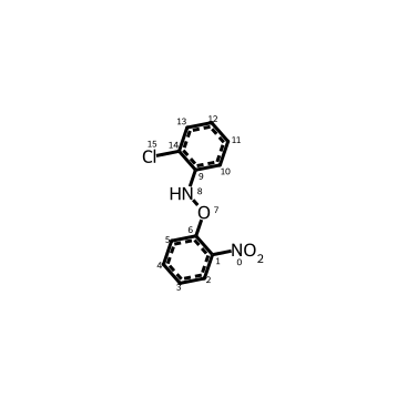 O=[N+]([O-])c1ccccc1ONc1ccccc1Cl